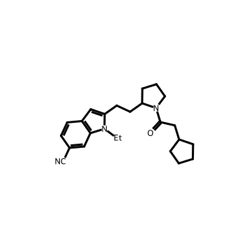 CCn1c(CCC2CCCN2C(=O)CC2CCCC2)cc2ccc(C#N)cc21